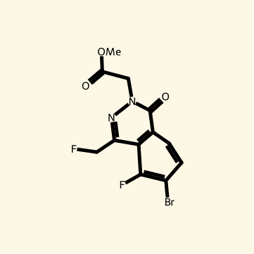 COC(=O)Cn1nc(CF)c2c(F)c(Br)ccc2c1=O